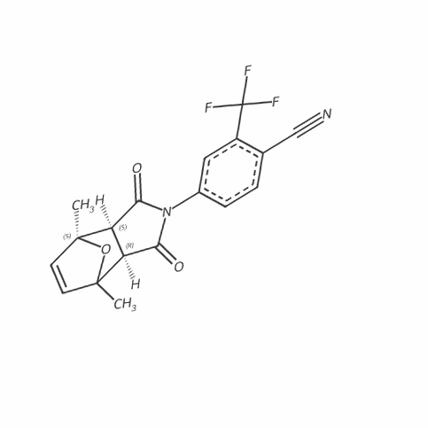 CC12C=C[C@](C)(O1)[C@H]1C(=O)N(c3ccc(C#N)c(C(F)(F)F)c3)C(=O)[C@H]12